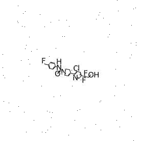 O=C(Nc1ccc(CF)cc1)N1CC=C(c2ncc(C(F)(F)CO)cc2Cl)CC1